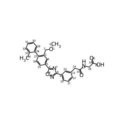 COCc1cc(-c2nc(-c3cccc(CC(=O)NCC(=O)O)c3)no2)ccc1-c1ccccc1C